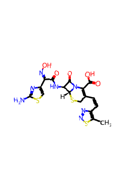 Cc1snnc1/C=C\C1=C(C(=O)O)N2C(=O)C(NC(=O)/C(=N\O)c3csc(N)n3)[C@H]2SC1